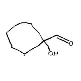 O=CC1(O)[CH]CCCC1